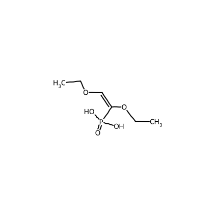 CCO/C=C(/OCC)P(=O)(O)O